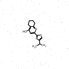 CC(C)c1csc(-c2cc(O)c3c(n2)CCCC3)n1